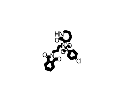 O=C1NCCCC[C@H]1N(CCCN1C(=O)c2ccccc2C1=O)S(=O)(=O)c1ccc(Cl)cc1